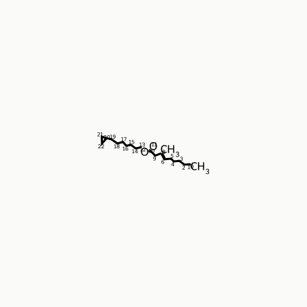 CCCCCC/C=C(\C)CC(=O)OCCCCCCCC1CC1